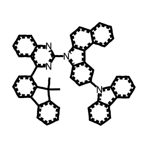 CC1(C)c2ccccc2-c2cccc(-c3nc(-n4c5ccc(-n6c7ccccc7c7ccccc76)cc5c5c6ccccc6ccc54)nc4ccccc34)c21